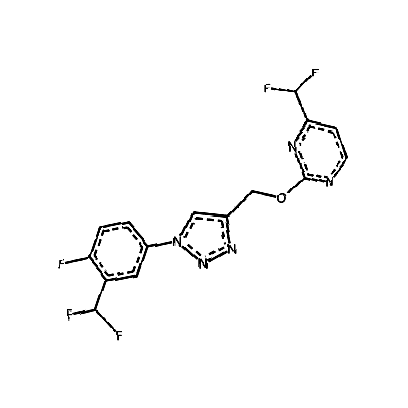 Fc1ccc(-n2cc(COc3nccc(C(F)F)n3)nn2)cc1C(F)F